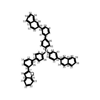 c1cc(-c2ccc(N(c3ccc(-c4cccc(-c5cc6ccccc6o5)c4)cc3)c3ccc(-c4ccc5ccccc5c4)cc3)cc2)cc(-c2ccc3ccccc3c2)c1